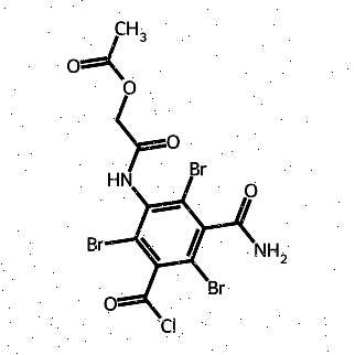 CC(=O)OCC(=O)Nc1c(Br)c(C(N)=O)c(Br)c(C(=O)Cl)c1Br